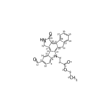 CCOC(=O)CCn1c2ccc(C=O)cc2c2c3c(c4c(c21)Cc1ccccc1-4)C(=O)NC3